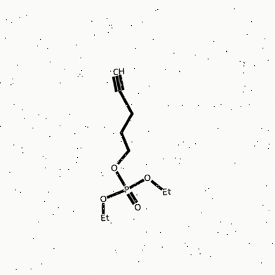 C#CCCCOP(=O)(OCC)OCC